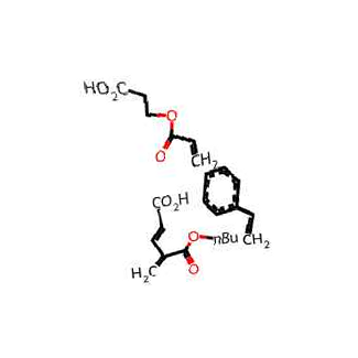 C=C(C=CC(=O)O)C(=O)OCCCC.C=CC(=O)OCCC(=O)O.C=Cc1ccccc1